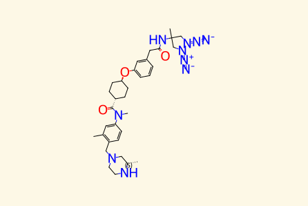 Cc1cc(N(C)C(=O)[C@H]2CC[C@H](Oc3cccc(CC(=O)NC(C)(CN=[N+]=[N-])CN=[N+]=[N-])c3)CC2)ccc1CN1CCN[C@@H](C)C1